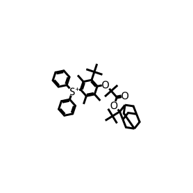 Cc1c(C)c([S+](c2ccccc2)c2ccccc2)c(C)c(C(C)(C)C)c1OC(C)(C)C(=O)OC1(C(C)(C)C)C2CC3CC(C2)CC1C3